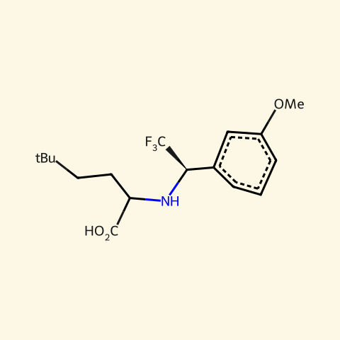 COc1cccc([C@@H](NC(CCC(C)(C)C)C(=O)O)C(F)(F)F)c1